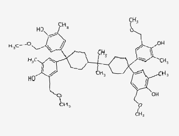 COCc1cc(C2(c3cc(C)c(O)c(COC)c3)CCC(C(C)(C)C3CCC(c4cc(C)c(O)c(COC)c4)(c4cc(C)c(O)c(COC)c4)CC3)CC2)cc(C)c1O